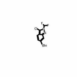 CC(C)(C)c1ccc2c(Cl)n(C(F)F)nc2c1